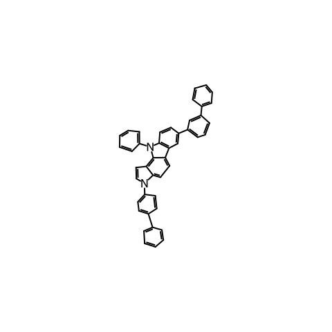 c1ccc(-c2ccc(-n3ccc4c3ccc3c5cc(-c6cccc(-c7ccccc7)c6)ccc5n(-c5ccccc5)c34)cc2)cc1